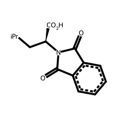 CC(C)C[C@@H](C(=O)O)N1C(=O)c2ccccc2C1=O